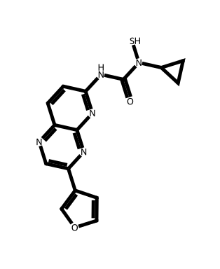 O=C(Nc1ccc2ncc(-c3ccoc3)nc2n1)N(S)C1CC1